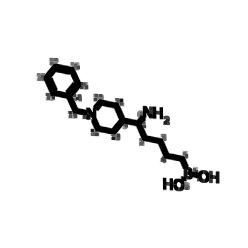 NC(CCCCB(O)O)C1CCN(Cc2ccccc2)CC1